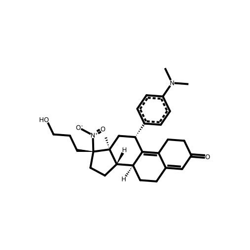 CN(C)c1ccc([C@H]2C[C@@]3(C)[C@@H](CC[C@]3(CCCO)[N+](=O)[O-])[C@@H]3CCC4=CC(=O)CCC4=C32)cc1